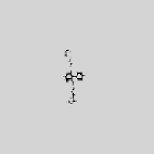 N#Cc1ccc(-c2c(COCCCn3cncn3)ccc(Cl)c2COCCCn2cncn2)cc1